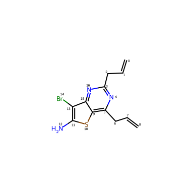 C=CCc1nc(CC=C)c2sc(N)c(Br)c2n1